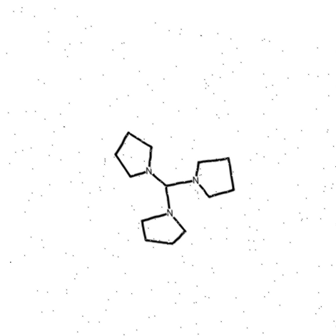 C1CCN(C(N2CCCC2)N2CCCC2)C1